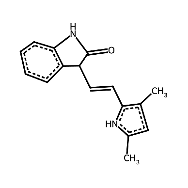 Cc1cc(C)c(/C=C/C2C(=O)Nc3ccccc32)[nH]1